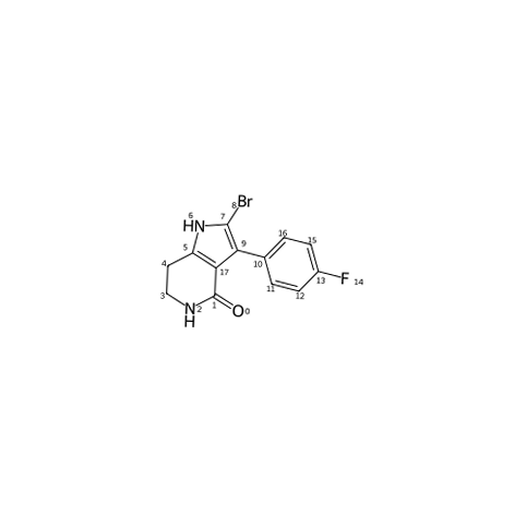 O=C1NCCc2[nH]c(Br)c(-c3ccc(F)cc3)c21